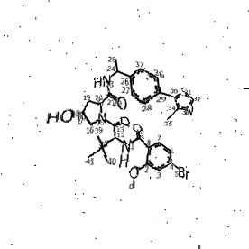 COc1cc(Br)ccc1C(=O)NC(C(=O)N1C[C@H](O)C[C@H]1C(=O)NC(C)c1ccc(-c2scnc2C)cc1)C(C)(C)C